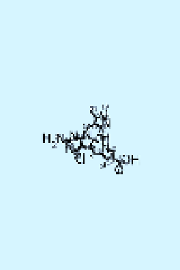 Cc1c(C(=O)O)c[nH]c1C=C1C(=O)N(Cc2cnn(C)c2C)c2nc(N)nc(Cl)c21